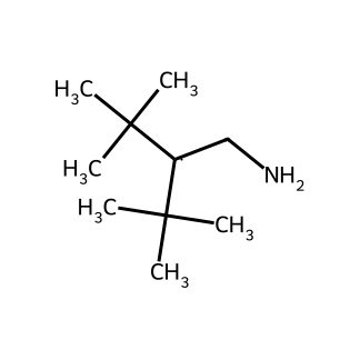 CC(C)(C)[C](CN)C(C)(C)C